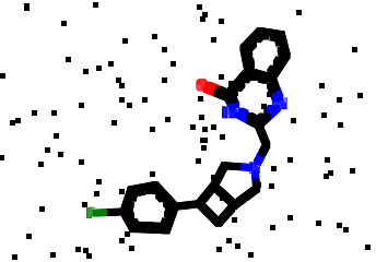 O=c1[nH]c(CN2CC3CC(c4ccc(F)cc4)C3C2)nc2ccccc12